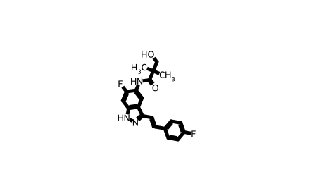 CC(C)(CO)C(=O)Nc1cc2c(/C=C/c3ccc(F)cc3)n[nH]c2cc1F